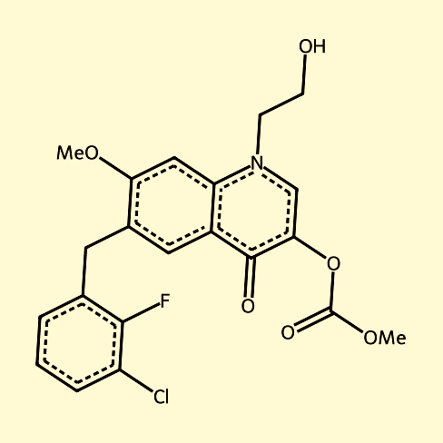 COC(=O)Oc1cn(CCO)c2cc(OC)c(Cc3cccc(Cl)c3F)cc2c1=O